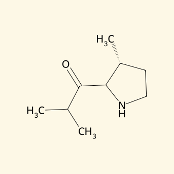 CC(C)C(=O)C1NCC[C@H]1C